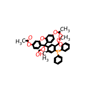 COC(=O)c1cc(C2(OCO)c3ccc(OC(C)=O)cc3Oc3cc(OC(C)=O)ccc32)c(C)cc1P(c1ccccc1)c1ccccc1